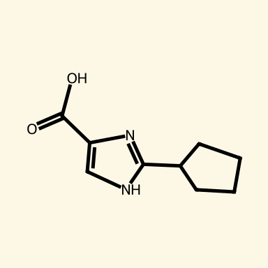 O=C(O)c1c[nH]c(C2CCCC2)n1